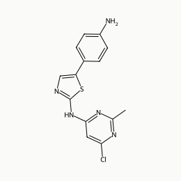 Cc1nc(Cl)cc(Nc2ncc(-c3ccc(N)cc3)s2)n1